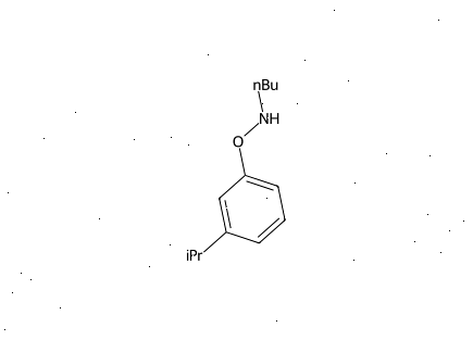 CCCCNOc1cccc(C(C)C)c1